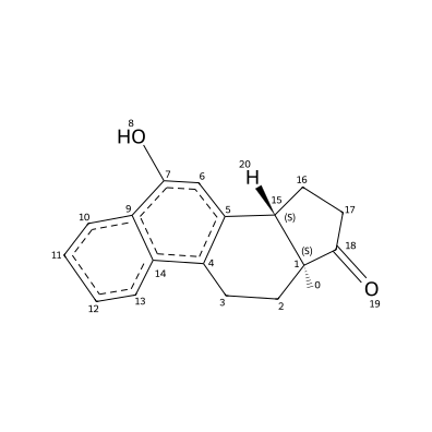 C[C@]12CCc3c(cc(O)c4ccccc34)[C@@H]1CCC2=O